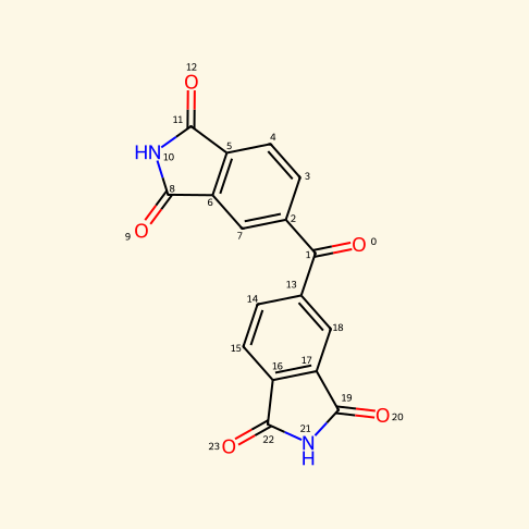 O=C(c1ccc2c(c1)C(=O)NC2=O)c1ccc2c(c1)C(=O)NC2=O